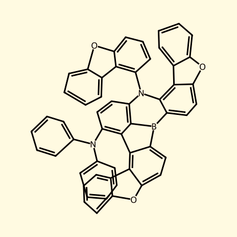 c1ccc(N(c2ccccc2)c2ccc3c4c2-c2c(ccc5oc6ccccc6c25)B4c2ccc4oc5ccccc5c4c2N3c2cccc3oc4ccccc4c23)cc1